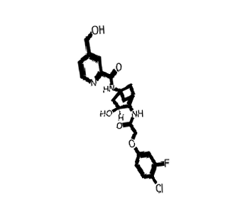 O=C(COc1ccc(Cl)c(F)c1)NC1=C2CC(NC(=O)c3cc(CO)ccn3)(C2)C[C@@H]1O